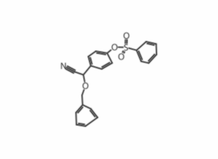 N#CC(OCc1ccccc1)c1ccc(OS(=O)(=O)c2ccccc2)cc1